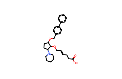 O=C(O)CCC=CCOC1C(OCc2ccc(-c3ccccc3)cc2)CCC1N1CCCCC1